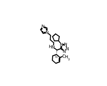 CC1=CCCC[C@@H]1C(NCCCn1ccnc1)c1nnnn1C1CCCC1